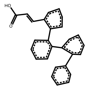 O=C(O)C=Cc1ccccc1-c1ccccc1-c1ccccc1-c1ccccc1